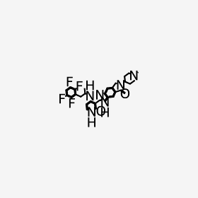 CC(Cc1c(F)c(F)cc(F)c1F)Nc1cc[nH]c(=O)c1-c1nc2cc3c(cc2[nH]1)C(=O)N(C1CCN(C)CC1)C3